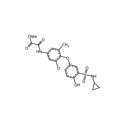 COC(=O)C(=O)Nc1cc(C)c(Oc2ccc(O)c(S(=O)(=O)NC3CC3)c2)c(Cl)c1